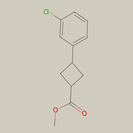 COC(=O)C1CC(c2cccc(Cl)c2)C1